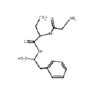 NCC(=O)NC(CC(=O)O)C(=O)NC(Cc1ccccc1)C(=O)O